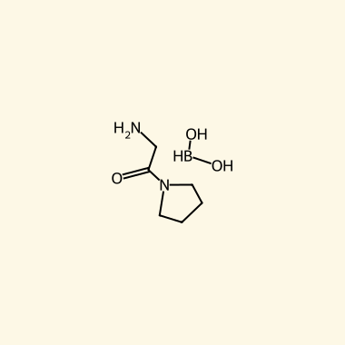 NCC(=O)N1CCCC1.OBO